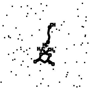 C#CCCC#C.CC1(C)OC(=O)CC(=O)O1